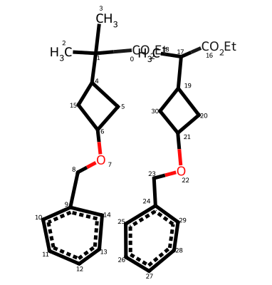 CCOC(=O)C(C)(C)C1CC(OCc2ccccc2)C1.CCOC(=O)C(C)C1CC(OCc2ccccc2)C1